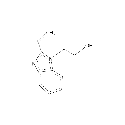 C=Cc1nc2ccccc2n1CCO